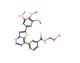 COc1cc(-c2cc3nccc(-c4cccc(C(=O)NCCO)c4)c3o2)cc(OC)c1OC